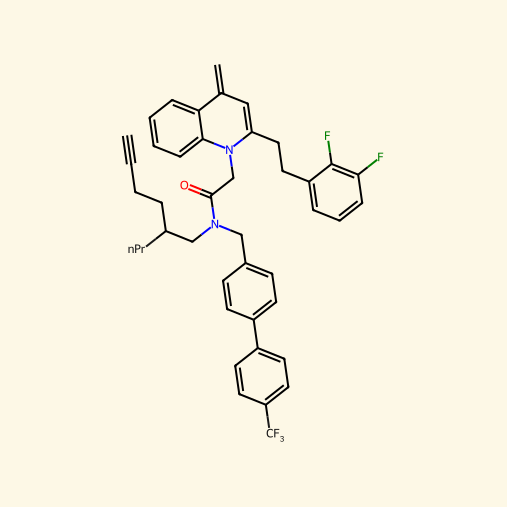 C#CCCC(CCC)CN(Cc1ccc(-c2ccc(C(F)(F)F)cc2)cc1)C(=O)CN1C(CCc2cccc(F)c2F)=CC(=C)c2ccccc21